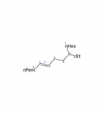 [CH2]CCCC/C=C/CCC(CC)CCCCC[CH2]